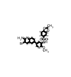 COc1ncc(-c2ccc3nc(N)c(Br)cc3c2)cc1NS(=O)(=O)c1ccc2c(c1)OC(C)O2